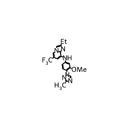 CCc1cn2cc(C(F)(F)F)cc(Nc3ccc(-n4cnc(C)n4)c(OC)c3)c2n1